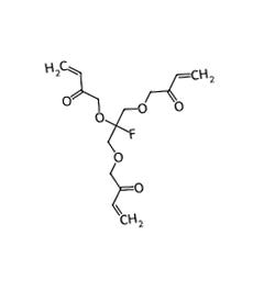 C=CC(=O)COCC(F)(COCC(=O)C=C)OCC(=O)C=C